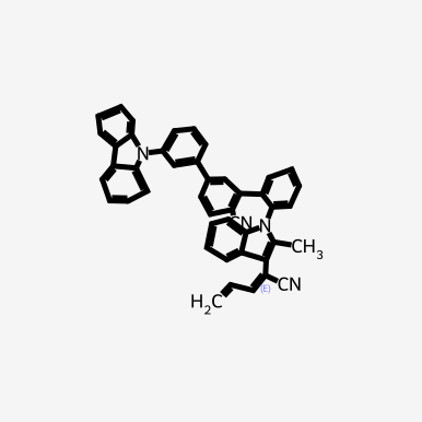 C=C/C=C(/C#N)c1c(C)n(-c2ccccc2-c2cc(-c3cccc(-n4c5ccccc5c5ccccc54)c3)ccc2C#N)c2ccccc12